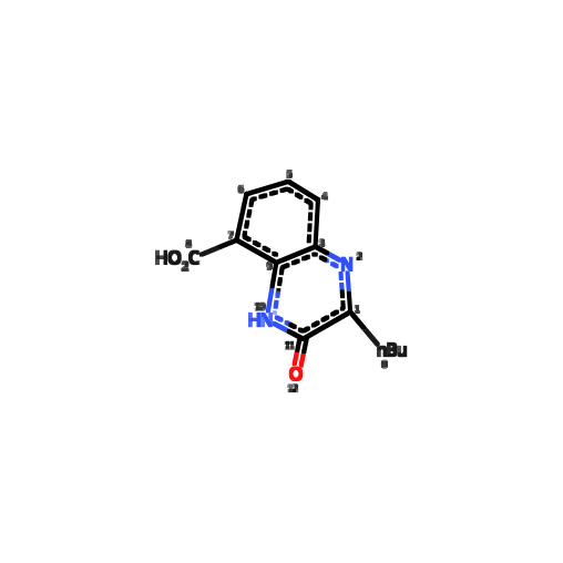 CCCCc1nc2cccc(C(=O)O)c2[nH]c1=O